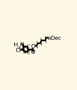 CCCCCCCCCCCCCCCCOC(=O)c1ccc(Cl)c(N)c1